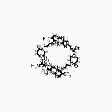 CCN(CC)CCn1cc(Nc2ncc(C(F)(F)F)c(NCCCN3CCOCCC3=O)n2)c(C)n1.Cc1nn(C(C)(C)C(N)=O)cc1Nc1ncc(C(F)(F)F)c(NCCCN2CCOCCC2=O)n1